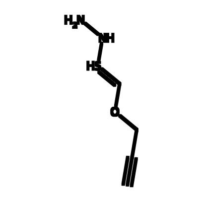 C#CCOC=[SH]NN